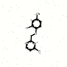 N#Cc1ccc(OCc2nccc(Cl)n2)c(F)c1